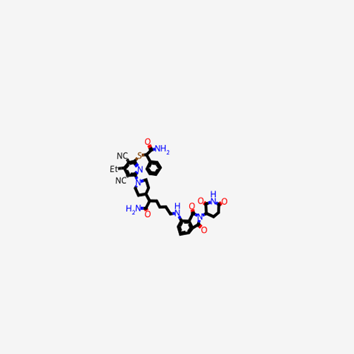 CCc1c(C#N)c(SC(C(N)=O)c2ccccc2)nc(N2CCC(C(CCCCNc3cccc4c3C(=O)N(C3CCC(=O)NC3=O)C4=O)C(N)=O)CC2)c1C#N